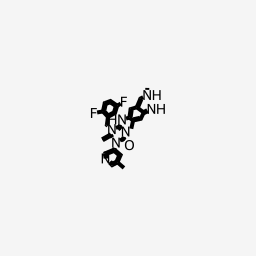 C=C1N(Cc2cc(F)ccc2F)C(NC2=C/C(=C/NC)C(=N)C=C2C)=NC(=O)N1c1cncc(C)c1